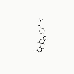 CC(C)(C)OC(=O)N1CCN(c2snc3c(F)c(-c4nc(N)ccc4Cl)c(Cl)cc23)CC1